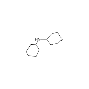 C1CCC(NC2CCSCC2)CC1